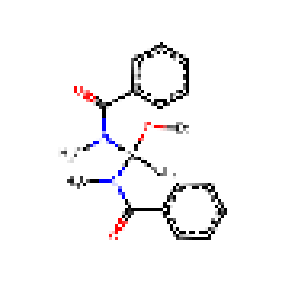 CCO[Si](C)(N(C)C(=O)c1ccccc1)N(C)C(=O)c1ccccc1